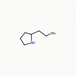 CC(C)(C)CCC1CCCN1